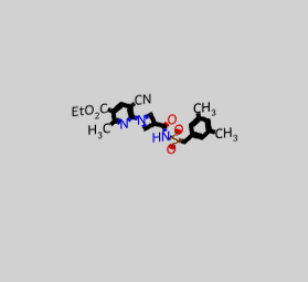 CCOC(=O)c1cc(C#N)c(N2CC(C(=O)NS(=O)(=O)Cc3cc(C)cc(C)c3)C2)nc1C